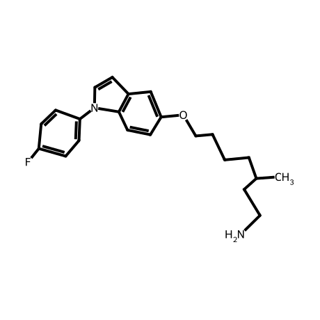 CC(CCN)CCCCOc1ccc2c(ccn2-c2ccc(F)cc2)c1